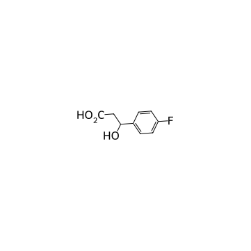 O=C(O)CC(O)c1ccc(F)cc1